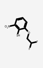 O=[N+]([O-])c1cccc(OCC(F)F)c1S